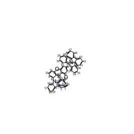 C#C/C=c1\c(=C/C)n(-c2cccc3c2B2c4ccccc4Oc4cc(S(c5ccccc5)(c5ccccc5)n5c6ccccc6c6ccccc65)cc(c42)O3)c2ccccc12